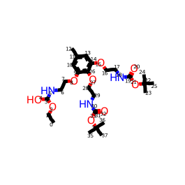 CCOC(O)NCCOc1cc(C)cc(OCCNC(=O)OC(C)(C)C)c1OCCNC(=O)OC(C)(C)C